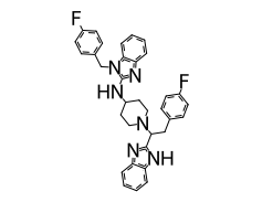 Fc1ccc(CC(c2nc3ccccc3[nH]2)N2CCC(Nc3nc4ccccc4n3Cc3ccc(F)cc3)CC2)cc1